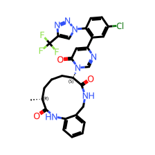 C[C@@H]1CCC[C@H](n2cnc(-c3cc(Cl)ccc3-n3cc(C(F)(F)F)nn3)cc2=O)C(=O)NCc2ccccc2NC1=O